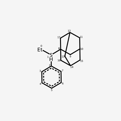 CC[SH](c1ccccc1)C12CC3CC(CC(C3)C1)C2